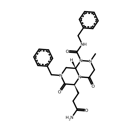 CN1CC(=O)N2[C@@H](CCC(N)=O)C(=O)N(Cc3ccccc3)C[C@@H]2N1C(=O)NCc1ccccc1